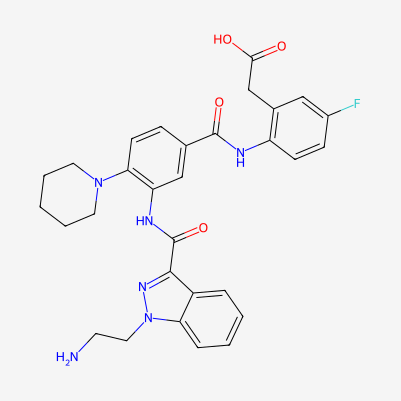 NCCn1nc(C(=O)Nc2cc(C(=O)Nc3ccc(F)cc3CC(=O)O)ccc2N2CCCCC2)c2ccccc21